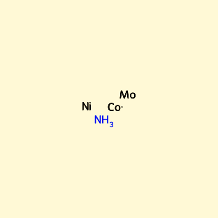 N.[Co].[Mo].[Ni]